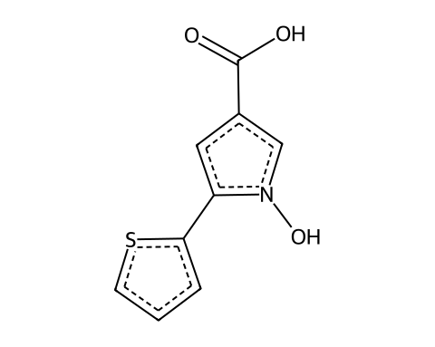 O=C(O)c1cc(-c2cccs2)n(O)c1